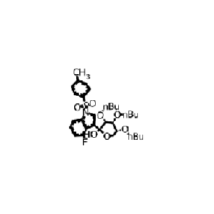 CCCCO[C@@H]1[C@@H](OCCCC)C(O)(c2cn(S(=O)(=O)c3ccc(C)cc3)c3cccc(F)c23)OC[C@H]1OCCCC